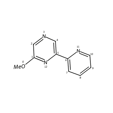 COc1cncc(-c2ccccn2)n1